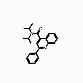 CC(C)N(C(=O)c1cc(-c2ccccc2)nc2ccccc12)C(C)C